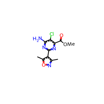 COC(=O)c1nc(-c2c(C)noc2C)nc(N)c1Cl